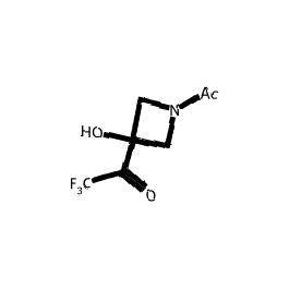 CC(=O)N1CC(O)(C(=O)C(F)(F)F)C1